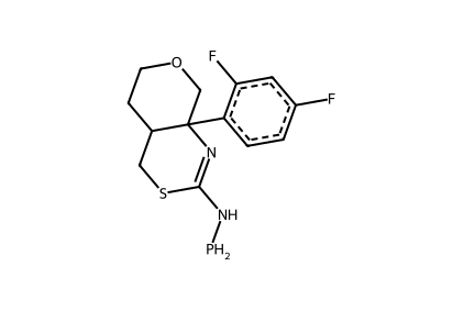 Fc1ccc(C23COCCC2CSC(NP)=N3)c(F)c1